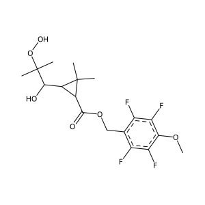 COc1c(F)c(F)c(COC(=O)C2C(C(O)C(C)(C)OO)C2(C)C)c(F)c1F